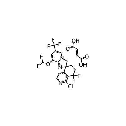 FC(F)OC1=CC(C(F)(F)F)=CN2CC3(CCC(F)(F)c4c3ccnc4Cl)N=C12.O=C(O)/C=C/C(=O)O